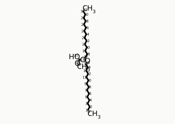 CCCCCCCCCCCCCCCCOCCCCCCCCCCCCCCCC.COC(=O)O